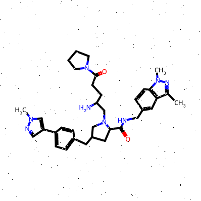 Cc1nn(C)c2ccc(CNC(=O)C3CC(Cc4ccc(-c5cnn(C)c5)cc4)CN3CC(N)CCC(=O)N3CCCC3)cc12